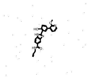 C=CCNC(=O)c1ccc2[nH]c(-c3cc(-c4cccnc4OC)ccc3O)nc2c1